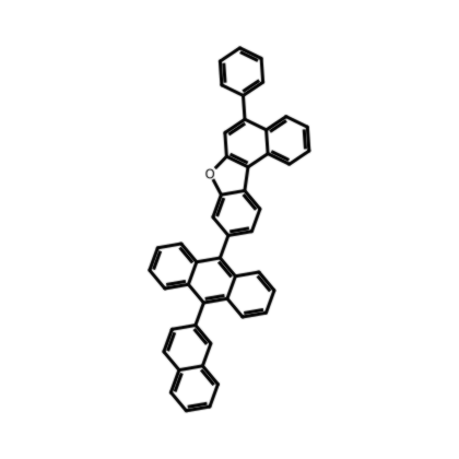 c1ccc(-c2cc3oc4cc(-c5c6ccccc6c(-c6ccc7ccccc7c6)c6ccccc56)ccc4c3c3ccccc23)cc1